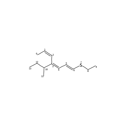 C\C=C/C(=C\C=C\SCC)C(C)CC